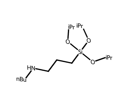 CCCCNCCC[Si](OC(C)C)(OC(C)C)OC(C)C